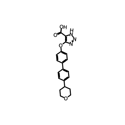 O=C(O)c1[nH]nnc1Oc1ccc(-c2ccc(C3CCOCC3)cc2)cc1